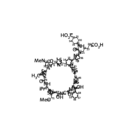 CNC(=O)C[C@@H]1NC(=O)c2csc(n2)-c2ccc(-c3nc(N(CCCCC(=O)O)C(=O)N[C@H]4CC[C@H](C(=O)O)CC4)cs3)nc2-c2csc(n2)-c2csc(n2)[C@H]([C@@H](O)c2ccccc2)NC(=O)CNC(=O)c2nc(sc2COC)C(C(C)C)NC(=O)c2nc1sc2C